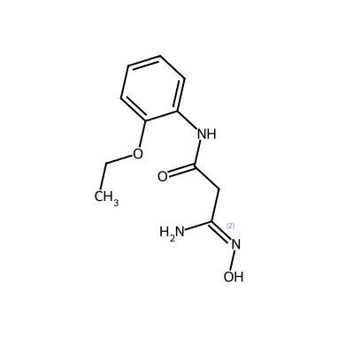 CCOc1ccccc1NC(=O)C/C(N)=N/O